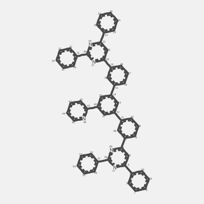 c1ccc(-c2cc(-c3cccc(-c4cc(-c5cccc(-c6cc(-c7ccccc7)nc(-c7ccccc7)n6)c5)cc(-c5ccccn5)c4)c3)nc(-c3ccccc3)n2)cc1